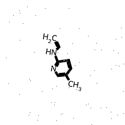 C=CNc1ccc(C)cn1